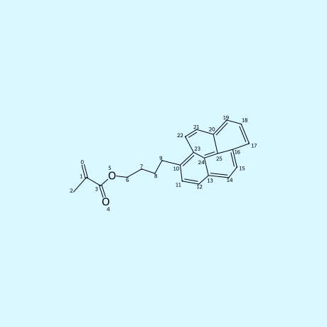 C=C(C)C(=O)OCCCCc1ccc2ccc3cccc4ccc1c2c34